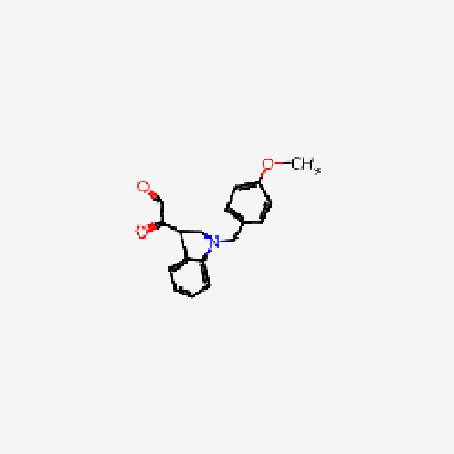 COc1ccc(CN2CC(C(=O)C=O)c3ccccc32)cc1